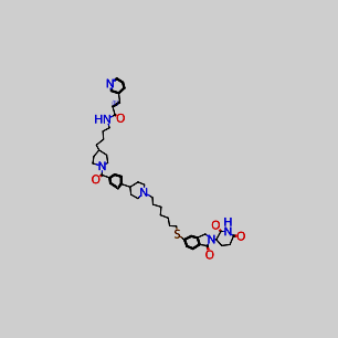 O=C(/C=C/c1cccnc1)NCCCCC1CCN(C(=O)c2ccc(C3CCN(CCCCCCCSc4ccc5c(c4)CN(C4CCC(=O)NC4=O)C5=O)CC3)cc2)CC1